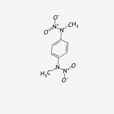 CN(c1ccc(N(C)[N+](=O)[O-])cc1)[N+](=O)[O-]